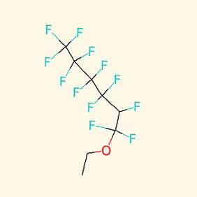 CCOC(F)(F)C(F)C(F)(F)C(F)(F)C(F)(F)C(F)(F)F